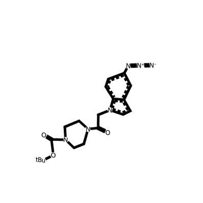 CC(C)(C)OC(=O)N1CCN(C(=O)Cn2ccc3cc(N=[N+]=[N-])ccc32)CC1